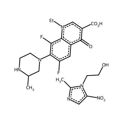 CCn1cc(C(=O)O)c(=O)c2cc(F)c(N3CCNC(C)C3)c(F)c21.Cc1ncc([N+](=O)[O-])n1CCO